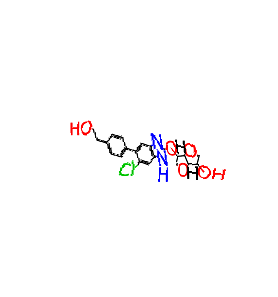 OCCc1ccc(-c2cc3nc(O[C@@H]4CO[C@H]5[C@@H]4OC[C@H]5O)[nH]c3cc2Cl)cc1